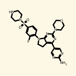 Nc1ncc(-c2nc(N3CCOCC3)nc3c2CCN3c2ccc(S(=O)(=O)N3CCNCC3)cc2F)cn1